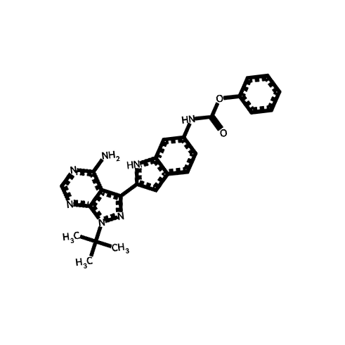 CC(C)(C)n1nc(-c2cc3ccc(NC(=O)Oc4ccccc4)cc3[nH]2)c2c(N)ncnc21